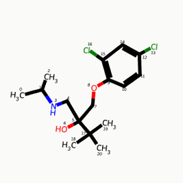 CC(C)NCC(O)(COc1ccc(Cl)cc1Cl)C(C)(C)C